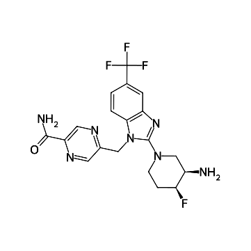 NC(=O)c1cnc(Cn2c(N3CC[C@H](F)[C@H](N)C3)nc3cc(C(F)(F)F)ccc32)cn1